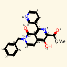 COC(=O)c1nc(-c2cccnc2)c2c(=O)n(Cc3ccccc3)ccc2c1O